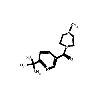 CN1CCN(C(=O)c2ccc(C(C)(C)C)nc2)CC1